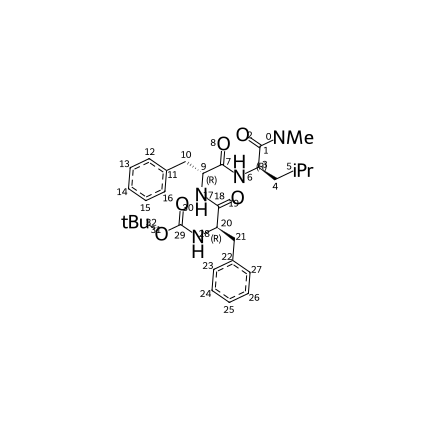 CNC(=O)[C@@H](CC(C)C)NC(=O)[C@@H](Cc1ccccc1)NC(=O)[C@@H](Cc1ccccc1)NC(=O)OC(C)(C)C